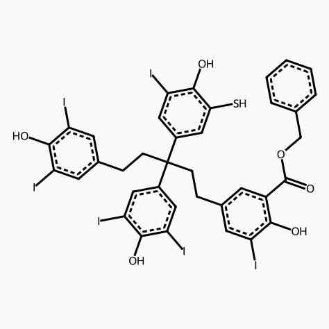 O=C(OCc1ccccc1)c1cc(CCC(CCc2cc(I)c(O)c(I)c2)(c2cc(S)c(O)c(I)c2)c2cc(I)c(O)c(I)c2)cc(I)c1O